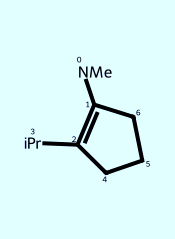 CNC1=C(C(C)C)CCC1